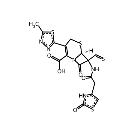 Cc1nnc(C2=C(C(=O)O)N3C(=O)C(C=S)(NC(=O)Cc4csc(=O)[nH]4)[C@@H]3SC2)s1